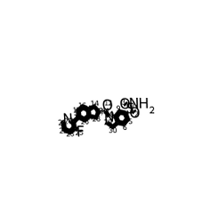 NS(=O)(=O)c1ccc2c(c1)N(C(=O)[C@H]1Cc3ccc(-c4ncccc4F)cc3C1)CC2